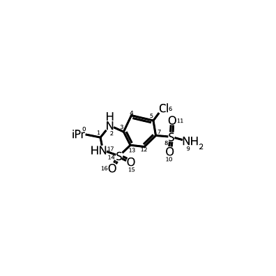 CC(C)C1Nc2cc(Cl)c(S(N)(=O)=O)cc2S(=O)(=O)N1